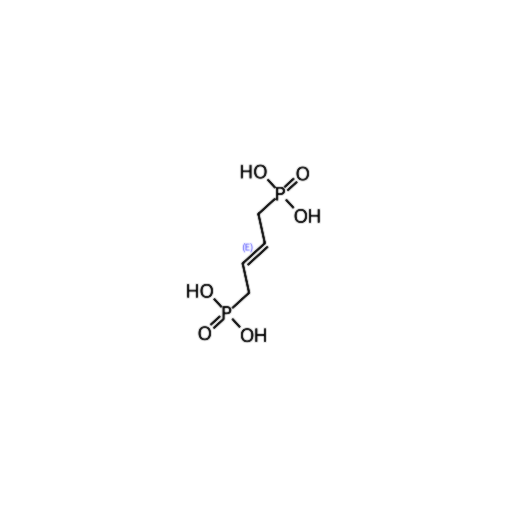 O=P(O)(O)C/C=C/CP(=O)(O)O